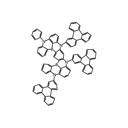 c1ccc(N2c3ccccc3B3c4cc5c(cc4N(c4ccc6c7ccccc7c7ccccc7c6c4)c4cccc2c43)N(c2ccc3c4ccccc4c4ccccc4c3c2)c2cccc3c2B5c2ccccc2N3c2ccc3c4ccccc4c4ccccc4c3c2)cc1